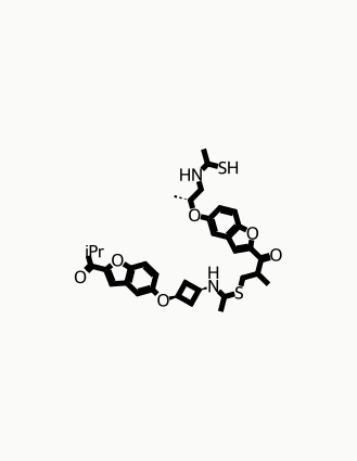 CC(S)NC[C@@H](C)Oc1ccc2oc(C(=O)C(C)CSC(C)N[C@H]3C[C@H](Oc4ccc5oc(C(=O)C(C)C)cc5c4)C3)cc2c1